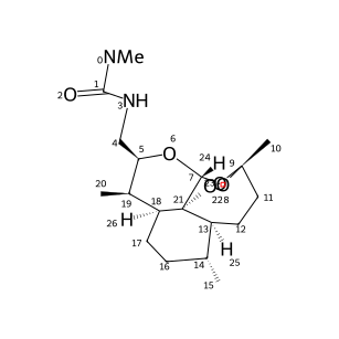 CNC(=O)NC[C@H]1O[C@@H]2O[C@@]3(C)CC[C@H]4[C@H](C)CC[C@@H]([C@H]1C)[C@@]24OO3